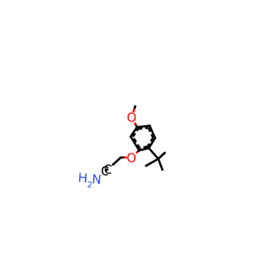 COc1ccc(C(C)(C)C)c(OCCCN)c1